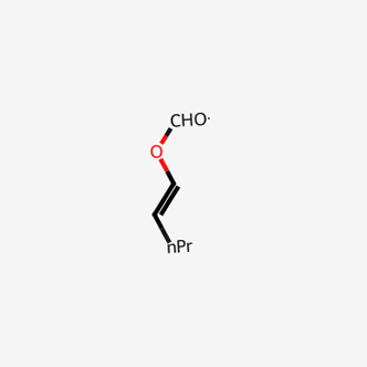 CCCC=CO[C]=O